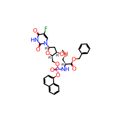 CSC[C@H](NP(=O)(OC[C@H]1O[C@@H](n2cc(F)c(=O)[nH]c2=O)C[C@H]1O)Oc1cccc2ccccc12)C(=O)OCc1ccccc1